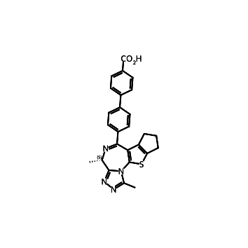 Cc1nnc2n1-c1sc3c(c1C(c1ccc(-c4ccc(C(=O)O)cc4)cc1)=N[C@H]2C)CCC3